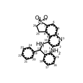 Nc1cnc2ccc3c(c2c1NC(c1ccccc1)c1ccccc1)CCS3(=O)=O